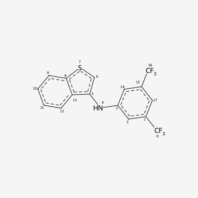 FC(F)(F)c1cc(Nc2csc3ccccc23)cc(C(F)(F)F)c1